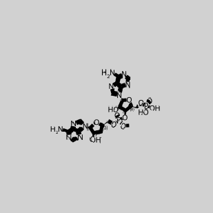 COP(=O)(OC[C@@H]1C[C@@H](O)[C@H](n2cnc3c(N)ncnc32)O1)O[C@H]1[C@@H](O)[C@H](n2cnc3c(N)ncnc32)O[C@@H]1COP(=O)(O)O